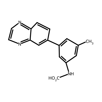 Cc1cc(NC(=O)O)cc(-c2ccc3nccnc3c2)c1